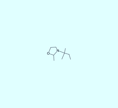 CCC(C)(C)N1CCOC1C